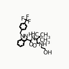 CC(C)(C)[C@H](NC(=O)c1nn(Cc2ccc(C(F)(F)F)cc2)c2ccccc12)C(=O)NCCO